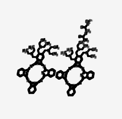 CC(=O)[O-].CC(=O)[O-].CCN(CC)Cc1cc2c3nc4nc(nc5[nH]c(nc6nc(nc([nH]3)c2c(CN(CC)CC)c1CN(CC)CC)-c1ccccc1-6)c1ccccc51)-c1ccccc1-4.CCN(CC)Cc1cc2c3nc4nc(nc5[nH]c(nc6nc(nc([nH]3)c2c(CN(CC)CC)c1CN(CC)CC)-c1ccccc1-6)c1ccccc51)-c1ccccc1-4.[Cu+2]